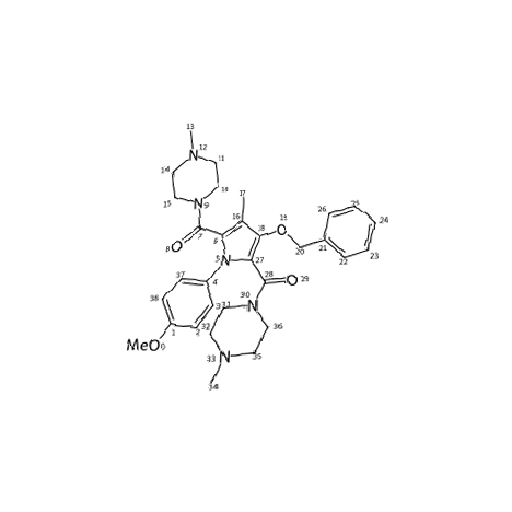 COc1ccc(-n2c(C(=O)N3CCN(C)CC3)c(C)c(OCc3ccccc3)c2C(=O)N2CCN(C)CC2)cc1